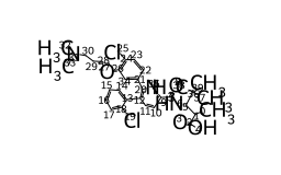 CC(C(=O)O)[C@H](NC(=O)c1ccc(-c2ccccc2Cl)c(-c2ccc(Cl)c(OCCCN(C)C)c2)n1)C(C)(C)C